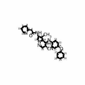 Cc1c(NC(=O)Cc2ccccn2)cn2ncc(C#N)c(Nc3ccc(Oc4ccccc4)cc3)c12